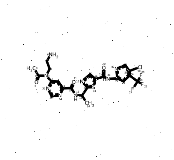 CC(=O)N(CCN)c1cc(C(=O)NC(C)c2ncc(C(=O)Nc3cc(C(F)(F)F)c(Cl)cn3)s2)ncn1